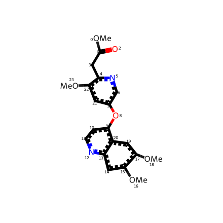 COC(=O)Cc1ncc(Oc2ccnc3cc(OC)c(OC)cc23)cc1OC